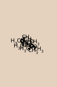 COc1cc(C(C)C)c(NCCNc2c(C(C)C)cc(C)cc2C(C)C)c(C(C)C)c1